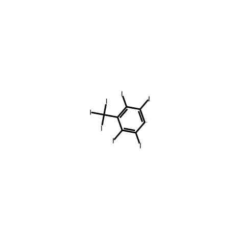 Ic1[c]c(I)c(I)c(C(I)(I)I)c1I